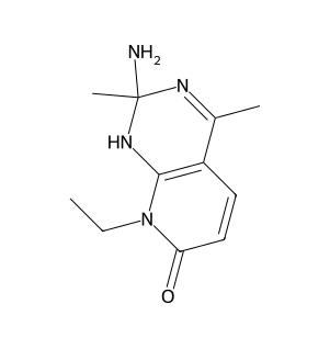 CCn1c2c(ccc1=O)C(C)=NC(C)(N)N2